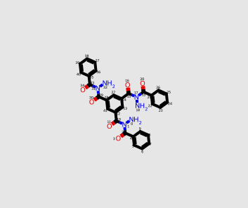 NN(C(=O)c1ccccc1)C(=O)c1cc(C(=O)N(N)C(=O)c2ccccc2)cc(C(=O)N(N)C(=O)c2ccccc2)c1